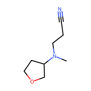 CN(CCC#N)C1CCOC1